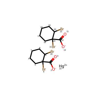 O=C([O-])C1(Br)CCCCC1Br.O=C([O-])C1(Br)CCCCC1Br.[Hg+2]